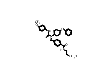 O=C(O)CCNC(=O)c1ccc(CN(C(=O)Nc2ccc(OC(F)(F)F)cc2)C2CCC(Oc3ccccc3)CC2)cc1